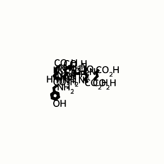 CC(C)C(N)C(=O)O.NC(=O)CCC(N)C(=O)O.NC(CCC(=O)O)C(=O)O.NC(Cc1c[nH]cn1)C(=O)O.NC(Cc1c[nH]cn1)C(=O)O.NC(Cc1ccc(O)cc1)C(=O)O